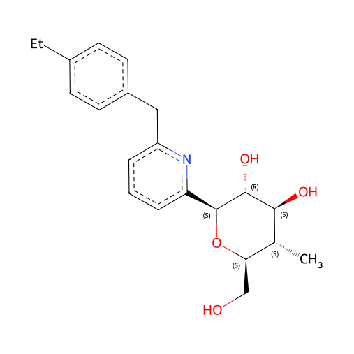 CCc1ccc(Cc2cccc([C@@H]3O[C@H](CO)[C@@H](C)[C@H](O)[C@H]3O)n2)cc1